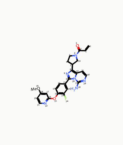 C=CC(=O)N1CCC(c2nc(-c3ccc(Oc4cc(OC)ccn4)c(F)c3)n3c(N)nccc23)C1